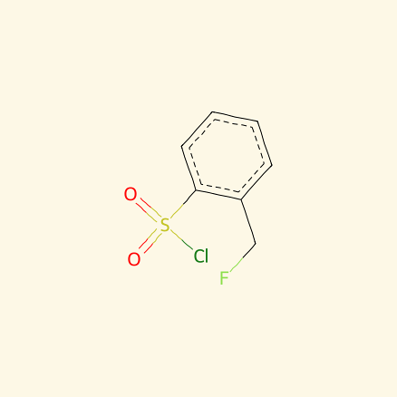 O=S(=O)(Cl)c1ccccc1CF